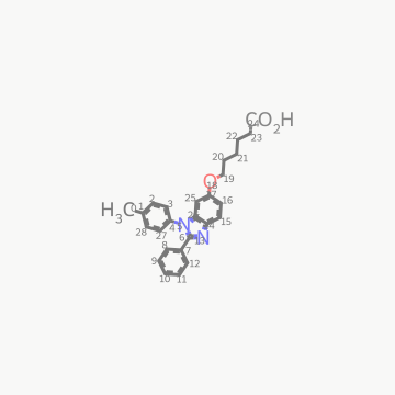 Cc1ccc(-n2c(-c3ccccc3)nc3ccc(OCCCCCC(=O)O)cc32)cc1